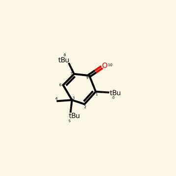 CC(C)(C)C1=CC(C)(C(C)(C)C)C=C(C(C)(C)C)C1=O